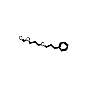 O=COCCCOCCCc1ccccc1